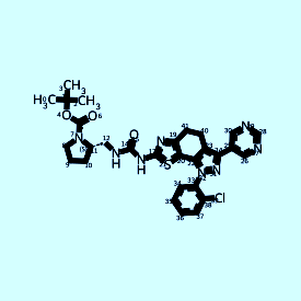 CC(C)(C)OC(=O)N1CCC[C@H]1CNC(=O)Nc1nc2c(s1)-c1c(c(-c3cncnc3)nn1-c1ccccc1Cl)CC2